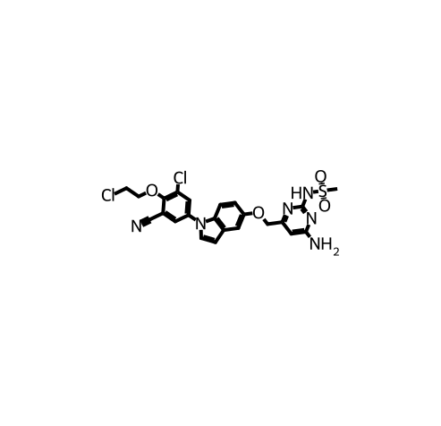 CS(=O)(=O)Nc1nc(N)cc(COc2ccc3c(ccn3-c3cc(Cl)c(OCCCl)c(C#N)c3)c2)n1